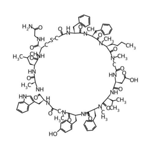 CCCC[C@H]1C(=O)N(C)CC(=O)N[C@@H](CC(=O)O)C(=O)N[C@@H](C(C)C)C(=O)N(C)[C@@H](Cc2ccccc2)C(=O)N[C@@H](Cc2ccc(O)cc2)C(=O)N(C)CC(=O)N[C@@H](Cc2c[nH]c3ccccc23)C(=O)N[C@@H](C)C(=O)N[C@@H](CC(C)C)C(=O)N[C@H](C(=O)NCC(N)=O)CSCC(=O)N[C@@H](Cc2ccccc2)C(=O)N(C)[C@@H](Cc2ccccc2)C(=O)N1C